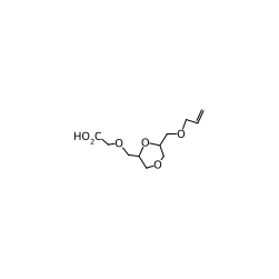 C=CCOCC1COCC(COCC(=O)O)O1